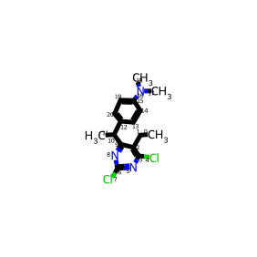 CCc1c(Cl)nc(Cl)nc1C(C)c1ccc(N(C)C)cc1